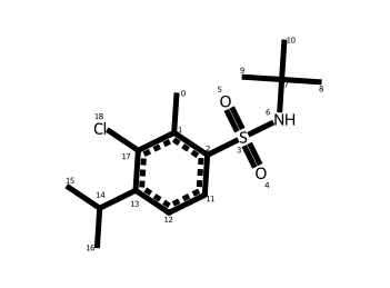 Cc1c(S(=O)(=O)NC(C)(C)C)ccc(C(C)C)c1Cl